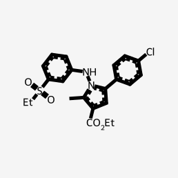 CCOC(=O)c1cc(-c2ccc(Cl)cc2)n(Nc2cccc(S(=O)(=O)CC)c2)c1C